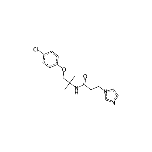 CC(C)(COc1ccc(Cl)cc1)NC(=O)CCn1ccnc1